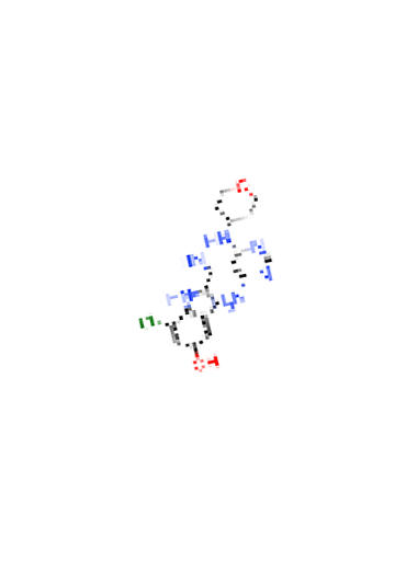 N=C(c1cc2cc(O)cc(Cl)c2[nH]1)c1c(N)ncnc1NC1CCOCC1